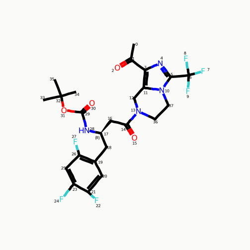 CC(=O)c1nc(C(F)(F)F)n2c1CN(C(=O)C[C@@H](Cc1cc(F)c(F)cc1F)NC(=O)OC(C)(C)C)CC2